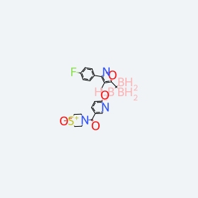 BC(B)(B)c1onc(-c2ccc(F)cc2)c1COc1ccc(C(=O)N2CC[S+]([O-])CC2)cn1